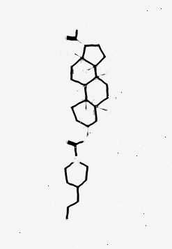 C[C@]12CC[C@H](OC(=O)N3CCC(CCO)CC3)C[C@H]1CC[C@@H]1[C@@H]2CC[C@]2(C)[C@@H](C(=O)O)CC[C@]12N